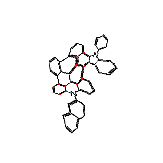 c1ccc(-c2ccccc2-c2c(-c3ccccc3)cccc2-c2cccc(N(c3cccc(-c4cccc5c4c4ccccc4n5-c4ccccc4)c3)c3ccc4ccccc4c3)c2)cc1